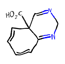 O=C(O)C12C=CC=CC1=NCN=C2